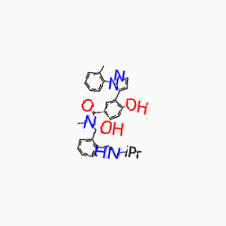 Cc1ccccc1-n1nccc1-c1cc(C(=O)N(C)Cc2ccccc2CNC(C)C)c(O)cc1O